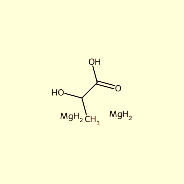 CC(O)C(=O)O.[MgH2].[MgH2]